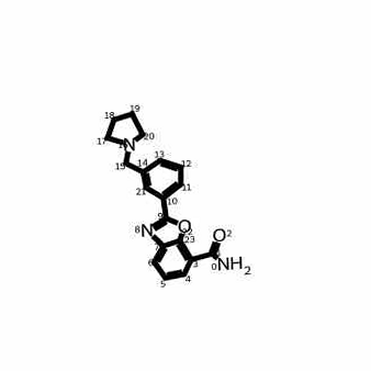 NC(=O)c1cccc2nc(-c3cccc(CN4CCCC4)c3)oc12